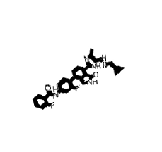 Cc1nc(-c2ccc(-c3ccc(NC(=O)c4ccccc4F)cc3F)c3c2C(=O)NC3)[nH]c1CNCC1CC1